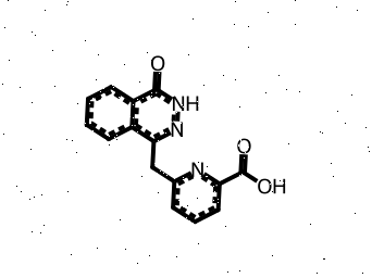 O=C(O)c1cccc(Cc2n[nH]c(=O)c3ccccc23)n1